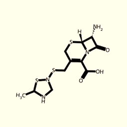 CC1NCN(SCC2=C(C(=O)O)N3C(=O)[C@@H](N)[C@H]3SC2)S1